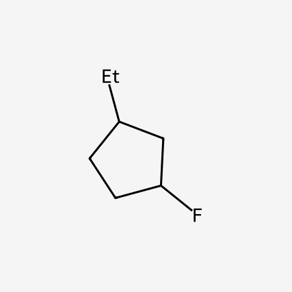 [CH2]CC1CCC(F)C1